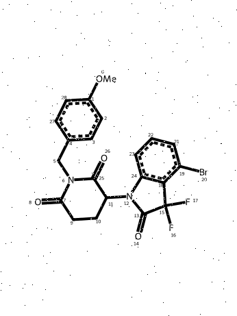 COc1ccc(CN2C(=O)CCC(N3C(=O)C(F)(F)c4c(Br)cccc43)C2=O)cc1